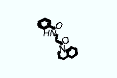 O=C(NCCC(=O)N1CCCC2CCCC=C21)c1ccccc1